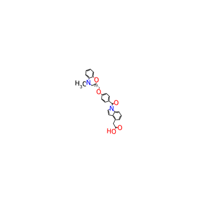 CN1C[C@@H](COc2ccc(C(=O)n3ccc4c(CC(=O)O)cccc43)cc2)Oc2ccccc21